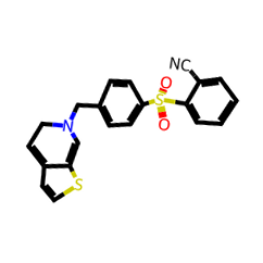 N#Cc1ccccc1S(=O)(=O)c1ccc(CN2C=c3sccc3=CC2)cc1